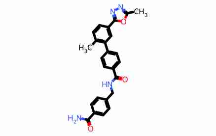 Cc1nnc(-c2ccc(C)c(-c3ccc(C(=O)NCc4ccc(C(N)=O)cc4)cc3)c2)o1